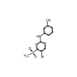 CS(=O)(=O)c1nc(Nc2cccc(C#N)c2)ncc1Br